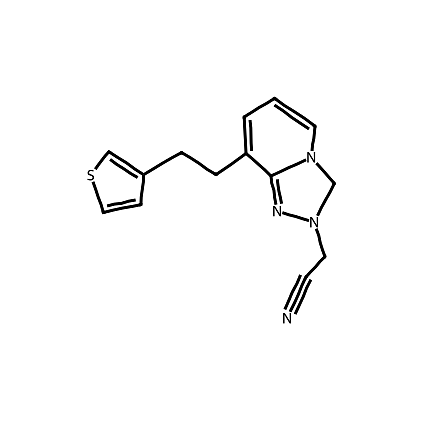 N#CCN1CN2C=CC=C(CCc3ccsc3)C2=N1